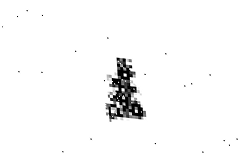 CC(C)C[C@@H](NC(=O)[C@H]1CCCCN1S(=O)(=O)c1ccccc1)C(=O)NC1(c2ccc[n+]([O-])c2)CC1